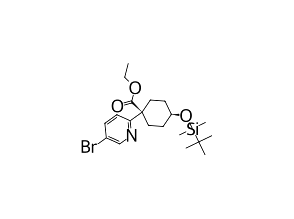 CCOC(=O)[C@]1(c2ccc(Br)cn2)CC[C@H](O[Si](C)(C)C(C)(C)C)CC1